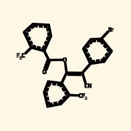 N#CC(=C(OC(=O)c1ccccc1C(F)(F)F)c1ccccc1C(F)(F)F)c1ccc(Br)cc1